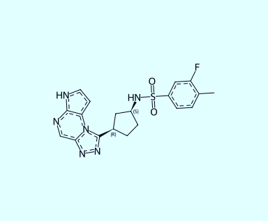 Cc1ccc(S(=O)(=O)N[C@H]2CC[C@@H](c3nnc4cnc5[nH]ccc5n34)C2)cc1F